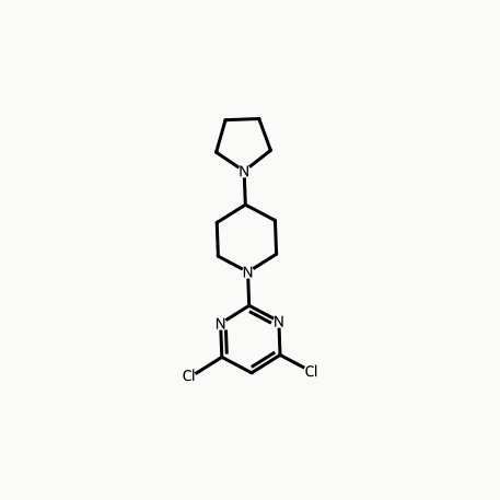 Clc1cc(Cl)nc(N2CCC(N3CCCC3)CC2)n1